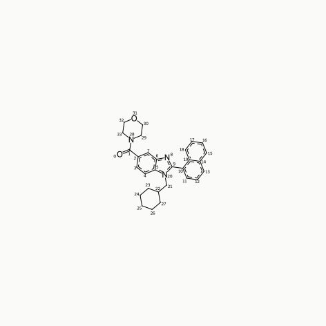 O=C(c1ccc2c(c1)nc(-c1cccc3ccccc13)n2CC1CCCCC1)N1CCOCC1